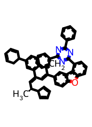 C=C/C(=C\C(=C/[C@H](C)C1C=CC=C1)c1cccc(C2C=CC=CC2)c1)c1ccc2oc3cccc(-c4nc(-c5ccccc5)nc(-c5ccccc5)n4)c3c2c1